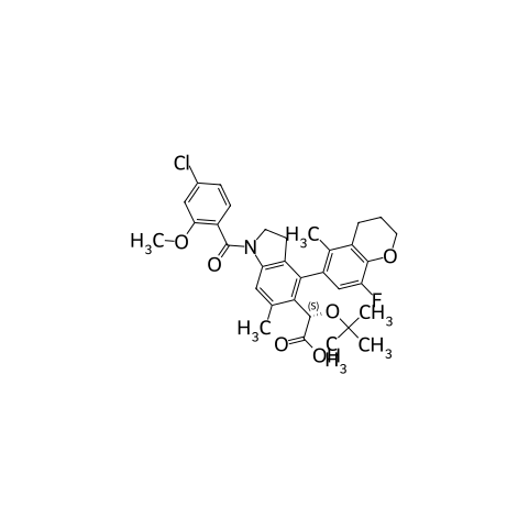 COc1cc(Cl)ccc1C(=O)N1CCc2c1cc(C)c([C@H](OC(C)(C)C)C(=O)O)c2-c1cc(F)c2c(c1C)CCCO2